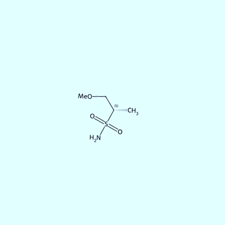 COC[C@H](C)S(N)(=O)=O